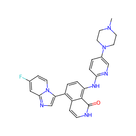 CN1CCN(c2ccc(Nc3ccc(-c4cnc5cc(F)ccn45)c4cc[nH]c(=O)c34)nc2)CC1